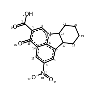 O=C(O)c1cn2c3c(cc([N+](=O)[O-])cc3c1=O)C1CCCCC12